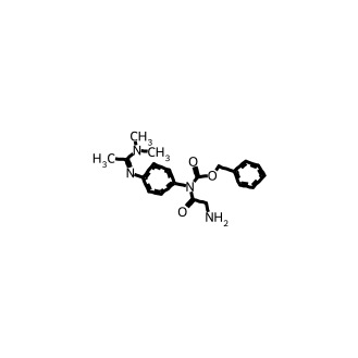 CC(=Nc1ccc(N(C(=O)CN)C(=O)OCc2ccccc2)cc1)N(C)C